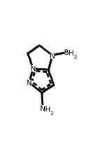 BN1CCn2nc(N)cc21